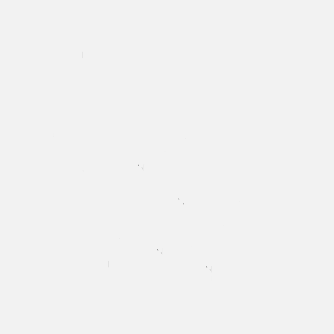 CCOC(=O)c1cn(C2CC2)c2c(cc(F)c3nc4[nH]c5ccc(Cl)cc5c4nc32)c1=O